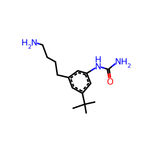 CC(C)(C)c1cc(CCCCN)cc(NC(N)=O)c1